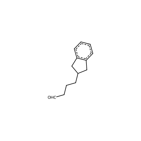 O=CCCCC1Cc2ccccc2C1